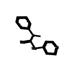 CN(C(=N)Nc1ccncc1)c1ccccc1